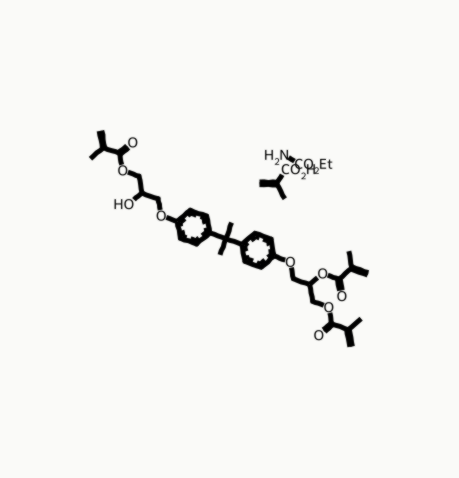 C=C(C)C(=O)O.C=C(C)C(=O)OCC(O)COc1ccc(C(C)(C)c2ccc(OCC(COC(=O)C(=C)C)OC(=O)C(=C)C)cc2)cc1.CCOC(N)=O